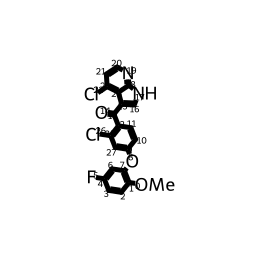 COc1ccc(F)cc1Oc1ccc(C(=O)c2c[nH]c3nccc(Cl)c23)c(Cl)c1